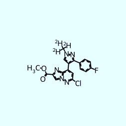 [2H]C([2H])([2H])n1cc(-c2cc(Cl)nn3cc(C(=O)OC)nc23)c(-c2ccc(F)cc2)n1